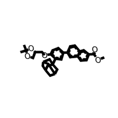 COC(=O)c1ccc2cc(-c3ccc(OCC4COC(C)(C)O4)c(C45CC6CC(CC(C6)C4)C5)c3)ccc2c1